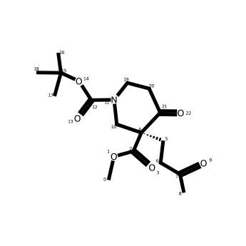 COC(=O)[C@@]1(CCC(C)=O)CN(C(=O)OC(C)(C)C)CCC1=O